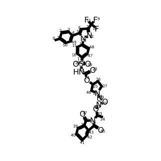 Cc1ccc(-c2cc(C(F)(F)F)nn2-c2ccc(S(=O)(=O)NC(=O)OC3CCN(n4on4OC(C)N4C(=O)c5ccccc5C4=O)C3)cc2)cc1